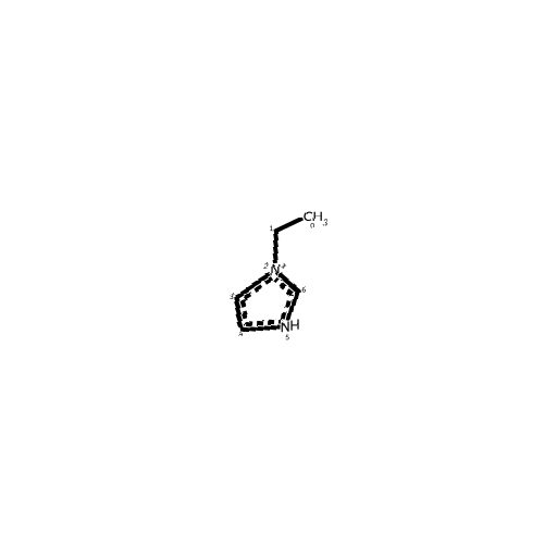 CC[n+]1cc[nH]c1